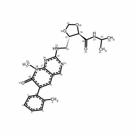 Cc1ccccc1-c1cc2cnc(NC[C@@H]3OCO[C@H]3C(=O)NC(C)C)nc2n(C)c1=O